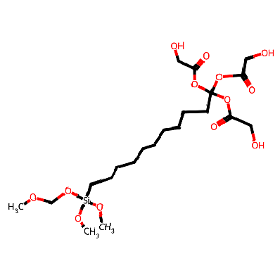 COCO[Si](CCCCCCCCCCC(OC(=O)CO)(OC(=O)CO)OC(=O)CO)(OC)OC